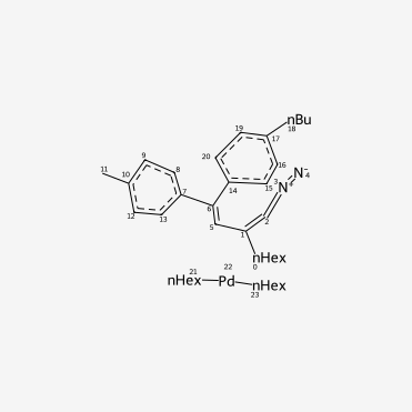 CCCCCCC(=C=[N+]=[N-])C=C(c1ccc(C)cc1)c1ccc(CCCC)cc1.CCCCC[CH2][Pd][CH2]CCCCC